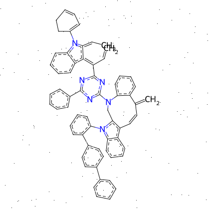 C=C/C(c1nc(-c2ccccc2)nc(N2Cc3c(c4ccccc4n3-c3ccccc3-c3ccc(-c4ccccc4)cc3)/C=C\C(=C)c3ccccc32)n1)=c1\c(=C/C)n(C2=CC=CCC2)c2ccccc12